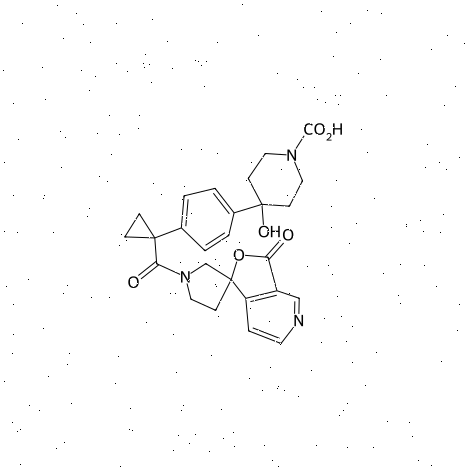 O=C1OC2(CCN(C(=O)C3(c4ccc(C5(O)CCN(C(=O)O)CC5)cc4)CC3)C2)c2ccncc21